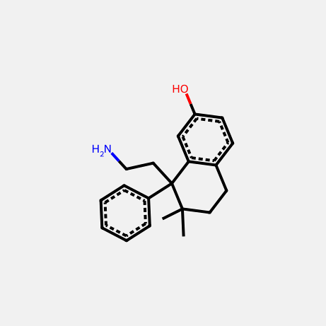 CC1(C)CCc2ccc(O)cc2C1(CCN)c1ccccc1